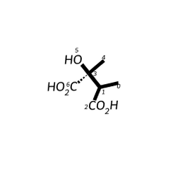 CC(C(=O)O)[C@](C)(O)C(=O)O